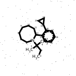 CCC(C)(C)N1CCCCCCC1c1ccccc1C1CC1